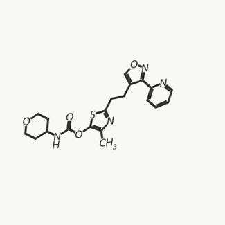 Cc1nc(CCc2conc2-c2ccccn2)sc1OC(=O)NC1CCOCC1